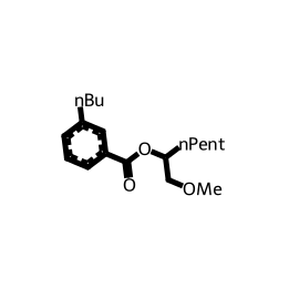 CCCCCC(COC)OC(=O)c1cccc(CCCC)c1